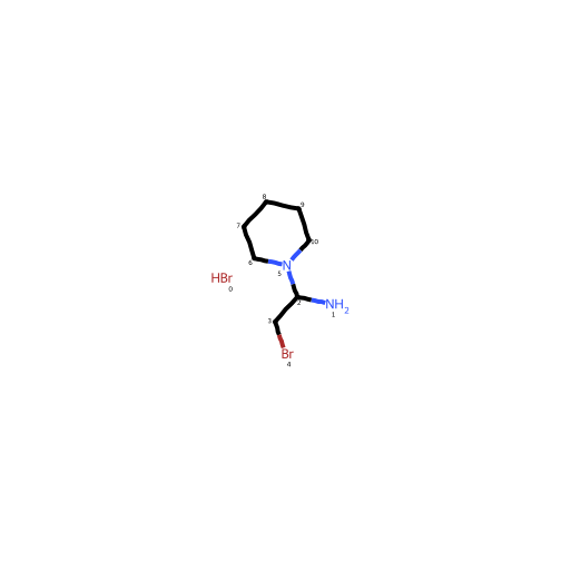 Br.NC(CBr)N1CCCCC1